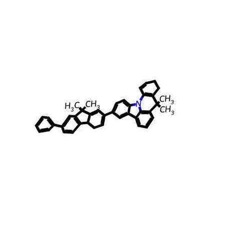 CC1(C)C2=CC(c3ccc4c(c3)c3cccc5c3n4C3=C(CCC=C3)C5(C)C)=CCC2c2ccc(-c3ccccc3)cc21